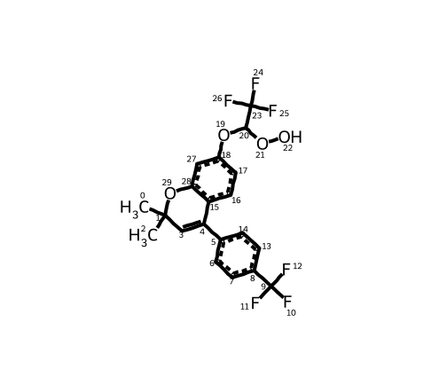 CC1(C)C=C(c2ccc(C(F)(F)F)cc2)c2ccc(OC(OO)C(F)(F)F)cc2O1